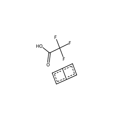 O=C(O)C(F)(F)F.c1cc2ccc1-2